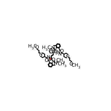 COCCCN1CCC(c2nnc(-c3cccc4c3N(OC(=O)/C=C/C(=O)ON3c5c(cccc5-c5nnc(C6CCN(CCCOC)CC6)o5)CN3C(C)C)N(C(C)C)C4)o2)CC1